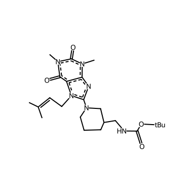 CC(C)=CCn1c(N2CCCC(CNC(=O)OC(C)(C)C)C2)nc2c1c(=O)n(C)c(=O)n2C